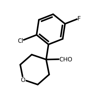 O=CC1(c2cc(F)ccc2Cl)CCOCC1